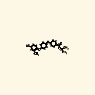 Cc1nc(Br)ccc1OC1CCC(OC2CCN(C(=O)OC(C)C)CC2)CC1